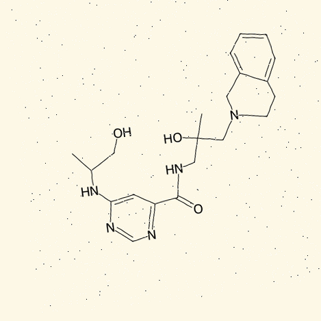 CC(CO)Nc1cc(C(=O)NCC(C)(O)CN2CCc3ccccc3C2)ncn1